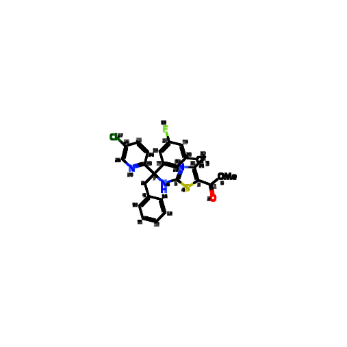 COC(=O)c1sc(NC(Cc2ccccc2)(c2cc(F)cc(C(F)(F)F)c2)c2ccc(Cl)cn2)nc1C